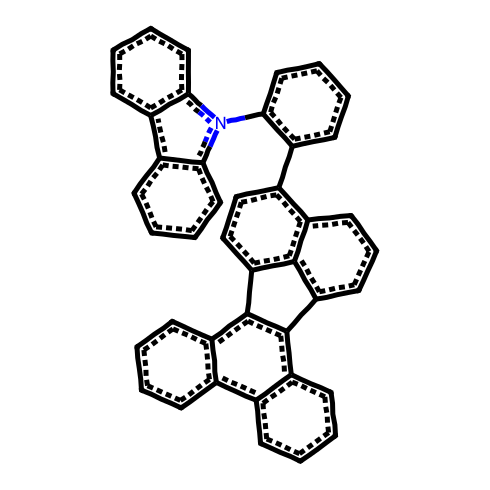 c1ccc(-n2c3ccccc3c3ccccc32)c(-c2ccc3c4c(cccc24)-c2c-3c3ccccc3c3ccccc23)c1